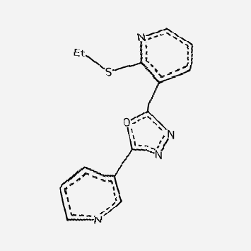 CCSc1ncccc1-c1nnc(-c2cccnc2)o1